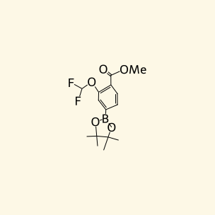 COC(=O)c1ccc(B2OC(C)(C)C(C)(C)O2)cc1OC(F)F